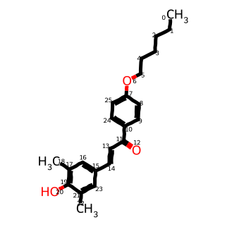 CCCCCCOc1ccc(C(=O)C=Cc2cc(C)c(O)c(C)c2)cc1